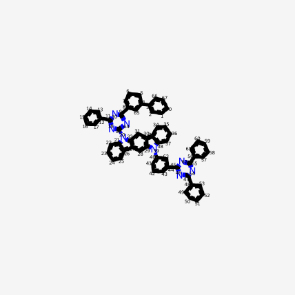 c1ccc(-c2cccc(-c3nc(-c4ccccc4)nc(-n4c5ccccc5c5cc6c(cc54)c4ccccc4n6-c4cccc(-c5nc(-c6ccccc6)nc(-c6ccccc6)n5)c4)n3)c2)cc1